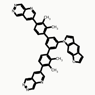 Cc1c(-c2cc(-c3ccc(-c4cnc5cnncc5c4)c(C)c3C)cc(-n3ccc4cc5ccoc5cc43)c2)ccc(-c2cnc3cnncc3c2)c1C